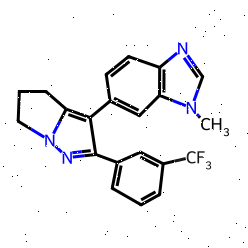 Cn1cnc2ccc(-c3c(-c4cccc(C(F)(F)F)c4)nn4c3CCC4)cc21